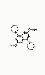 CCCOc1nc(N2CCCCC2)c2nc(OCCC)nc(N3CCCCC3)c2n1